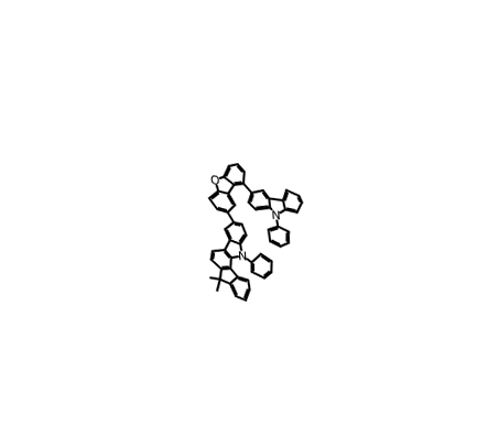 CC1(C)c2ccccc2-c2c1ccc1c3cc(-c4ccc5oc6cccc(-c7ccc8c(c7)c7ccccc7n8-c7ccccc7)c6c5c4)ccc3n(-c3ccccc3)c21